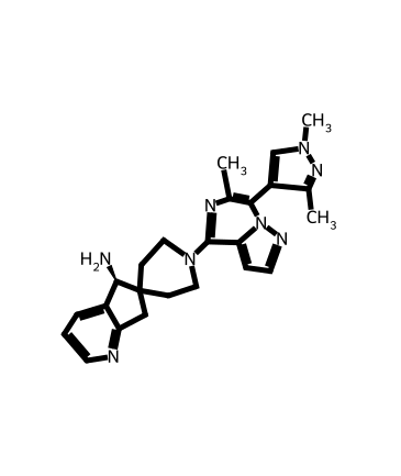 Cc1nn(C)cc1-c1c(C)nc(N2CCC3(CC2)Cc2ncccc2[C@H]3N)c2ccnn12